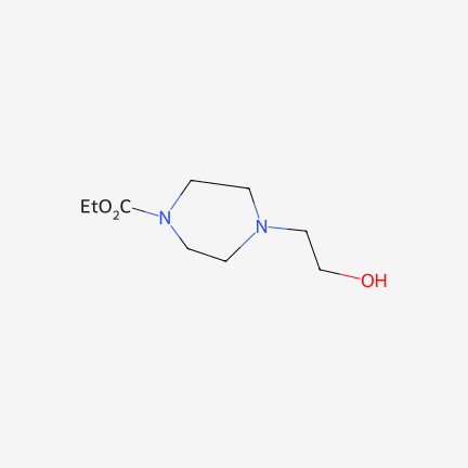 CCOC(=O)N1CCN(CCO)CC1